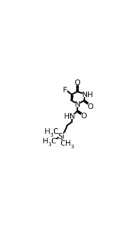 C[Si](C)(C)CCCNC(=O)n1cc(F)c(=O)[nH]c1=O